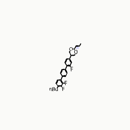 C/C=C/C1OCC(c2ccc(-c3ccc(-c4ccc(CCCC)c(F)c4F)cc3)c(F)c2)CO1